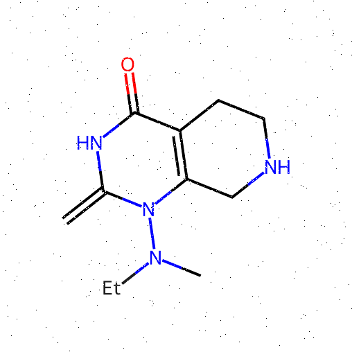 C=C1NC(=O)C2=C(CNCC2)N1N(C)CC